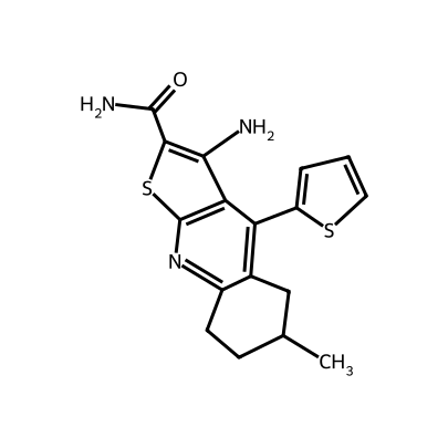 CC1CCc2nc3sc(C(N)=O)c(N)c3c(-c3cccs3)c2C1